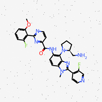 COc1cccc(F)c1-c1nccc(C(=O)Nc2ccc3c(nc(-c4ccncc4F)n3C)c2N2CCC[C@H]2CN)n1